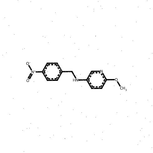 COc1ccc(NCc2ccc([N+](=O)[O-])cc2)cn1